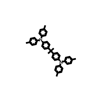 Cc1ccc(N(c2ccc(C)cc2)c2ccc(C(C)(C)c3ccc(N(c4ccc(C)cc4)c4ccc(C)cc4)cc3)cc2)cc1